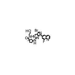 C[C@@]1(C(=O)NCCO)CC[C@@H](Nc2ncc3c(Br)nn(-c4cc(F)c5ncccc5c4)c3n2)C1